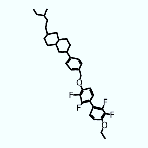 CCOc1ccc(-c2ccc(OCc3ccc(C4CCC5CC(CCC(C)CC)CCC5C4)cc3)c(F)c2F)c(F)c1F